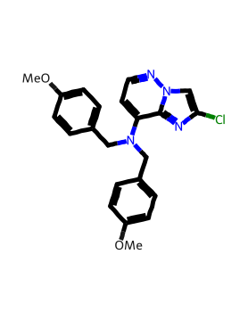 COc1ccc(CN(Cc2ccc(OC)cc2)c2ccnn3cc(Cl)nc23)cc1